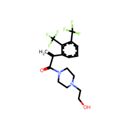 C=C(C(=O)N1CCN(CCO)CC1)c1cc[c]c(C(F)(F)F)c1C(F)(F)F